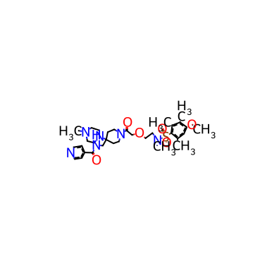 COc1cc(C)c(S(=O)(=O)N(C)CCOCC(=O)N2CCC(CNC(=O)c3ccncc3)(N3CCN(C)CC3)CC2)c(C)c1C